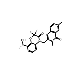 Cc1ccc2nc(CN3C(=O)C(F)(F)Oc4c([C@H](C)O)cccc43)n(C)c(=O)c2c1